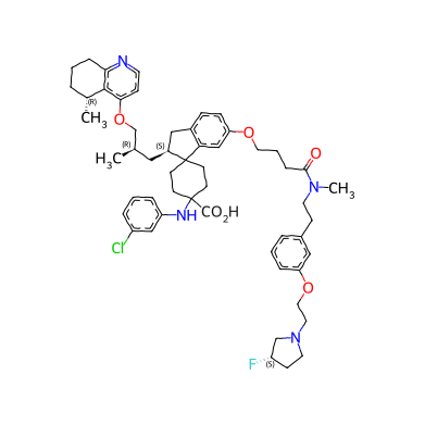 C[C@@H](COc1ccnc2c1[C@H](C)CCC2)C[C@H]1Cc2ccc(OCCCC(=O)N(C)CCc3cccc(OCCN4CC[C@H](F)C4)c3)cc2C12CCC(Nc1cccc(Cl)c1)(C(=O)O)CC2